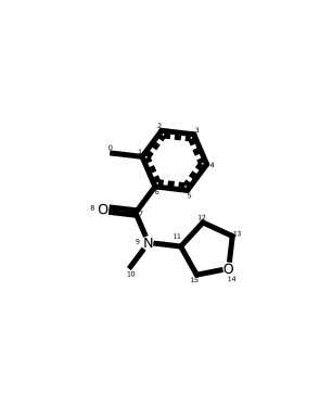 Cc1ccccc1C(=O)N(C)C1CCOC1